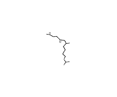 CNCCNCC(C)CCCCCC(C)C